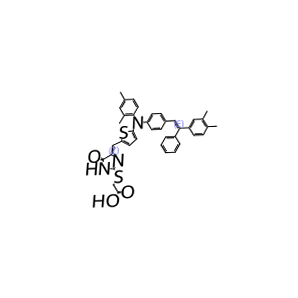 Cc1ccc(N(c2ccc(/C=C(\c3ccccc3)c3ccc(C)c(C)c3)cc2)c2ccc(/C=C3\N=C(SCC(=O)O)NC3=O)s2)c(C)c1